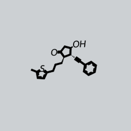 Cc1ccc(CCC[C@H]2C(=O)C[C@@H](O)[C@@H]2C#Cc2ccccc2)s1